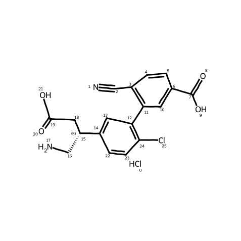 Cl.N#Cc1ccc(C(=O)O)cc1-c1cc([C@H](CN)CC(=O)O)ccc1Cl